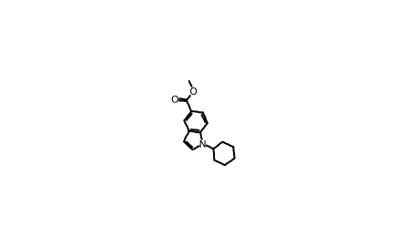 COC(=O)c1ccc2c(ccn2C2CCCCC2)c1